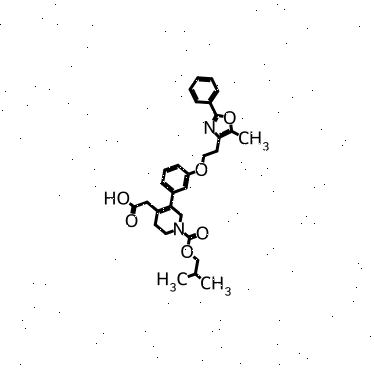 Cc1oc(-c2ccccc2)nc1CCOc1cccc(C2=C(CC(=O)O)CCN(C(=O)OCC(C)C)C2)c1